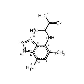 CC(=O)C(C)Nc1c(C)cc(C)c2nsnc12